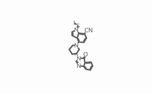 N#Cc1ccc(N2CCC[C@@H](n3cnc4ccccc4c3=O)C2)c2ccn(SI)c12